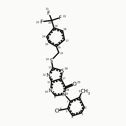 Cc1cccc(Cl)c1-n1cnc2nc(SCc3ccc(C(F)(F)F)cc3)sc2c1=O